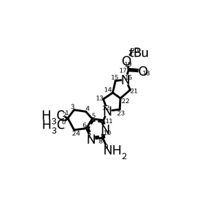 CC1(C)CCc2c(nc(N)nc2N2CC3CN(C(=O)OC(C)(C)C)CC3C2)C1